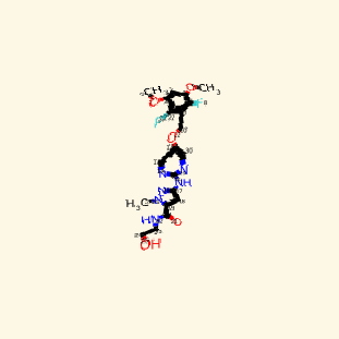 COc1cc(OC)c(F)c(COc2cnc(Nc3cc(C(=O)NCCO)n(C)n3)nc2)c1F